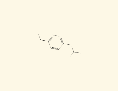 FC(F)Oc1ccc(CCl)nn1